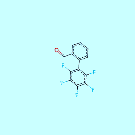 O=Cc1ccccc1-c1c(F)c(F)c(F)c(F)c1F